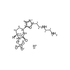 NCCNCCc1nnc([C@@H]2CC[C@@H]3CN2C(=O)N3OS(=O)(=O)[O-])o1.[H+]